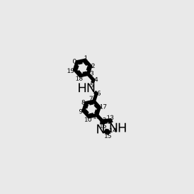 c1ccc(CNCc2cccc(-c3c[nH]cn3)c2)cc1